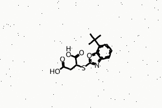 CC(C)(C)c1cccc2nc(SC(CC(=O)O)C(=O)O)oc12